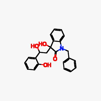 O=C1N(Cc2ccccc2)c2ccccc2C1(O)CC(O)c1ccccc1O